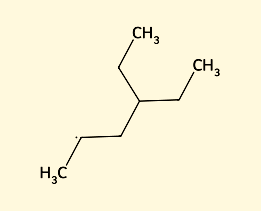 C[CH]CC(CC)CC